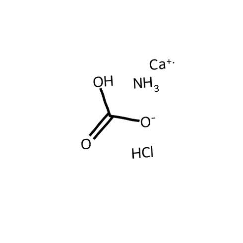 Cl.N.O=C([O-])O.[Ca+]